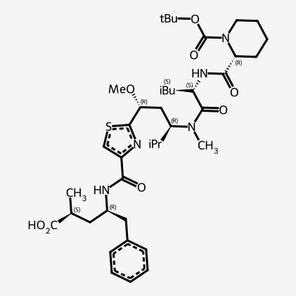 CC[C@H](C)[C@H](NC(=O)[C@H]1CCCCN1C(=O)OC(C)(C)C)C(=O)N(C)[C@H](C[C@@H](OC)c1nc(C(=O)N[C@@H](Cc2ccccc2)C[C@H](C)C(=O)O)cs1)C(C)C